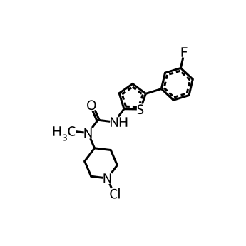 CN(C(=O)Nc1ccc(-c2cccc(F)c2)s1)C1CCN(Cl)CC1